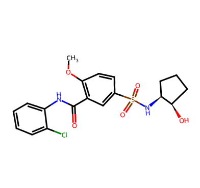 COc1ccc(S(=O)(=O)N[C@H]2CCC[C@H]2O)cc1C(=O)Nc1ccccc1Cl